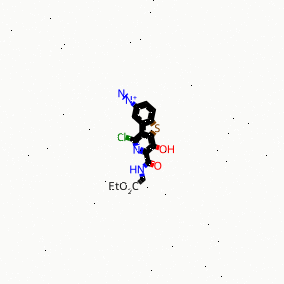 CCOC(=O)CNC(=O)c1nc(Cl)c2c(sc3ccc([N+]#N)cc32)c1O